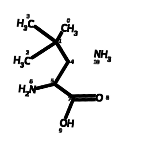 CC(C)(C)CC(N)C(=O)O.N